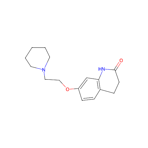 O=C1CCc2ccc(OCCN3CCCCC3)cc2N1